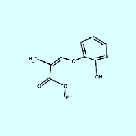 CCCOC(=O)C(C)=COc1ccccc1O